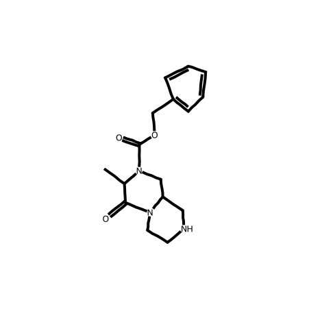 CC1C(=O)N2CCNCC2CN1C(=O)OCc1ccccc1